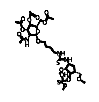 COC[C@H]1C[C@@H](NC(=S)NCCCCO[C@@H]2O[C@H](COC(C)=O)[C@H](OC(C)=O)[C@H](OC(C)=O)[C@H]2NC(C)=O)[C@@H](OC)C1OP(O)(=S)OC